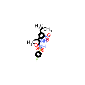 CCc1c(C(=O)NS(=O)(=O)c2ccc(F)cc2)[nH]c2c([N+](=O)[O-])cc(CC(C)C)cc12